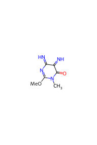 COC1=NC(=N)C(=N)C(=O)N1C